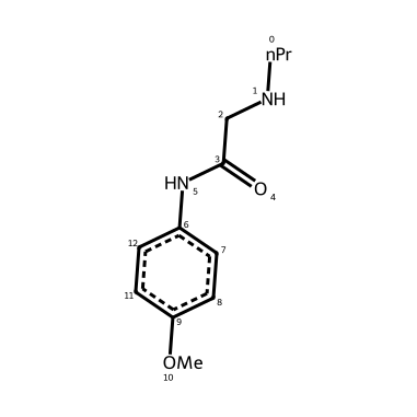 CCCNCC(=O)Nc1ccc(OC)cc1